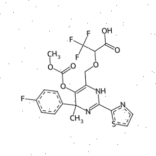 COC(=O)OC1=C(COC(C(=O)O)C(F)(F)F)NC(c2nccs2)=NC1(C)c1ccc(F)cc1